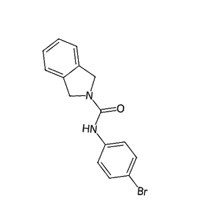 O=C(Nc1ccc(Br)cc1)N1Cc2ccccc2C1